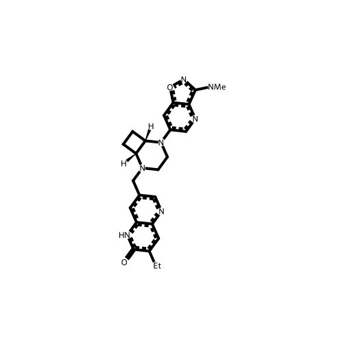 CCc1cc2ncc(CN3CCN(c4cnc5c(NC)noc5c4)[C@H]4CC[C@H]43)cc2[nH]c1=O